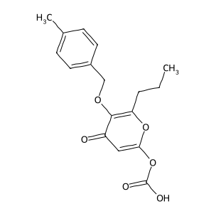 CCCc1oc(OC(=O)O)cc(=O)c1OCc1ccc(C)cc1